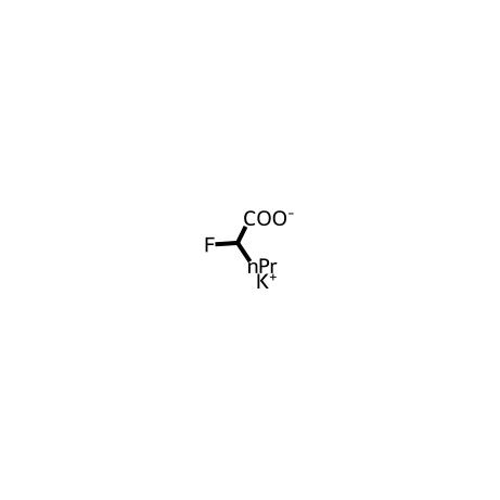 CCCC(F)C(=O)[O-].[K+]